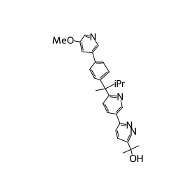 COc1cncc(-c2ccc(C(C)(c3ccc(-c4ccc(C(C)(C)O)nn4)cn3)C(C)C)cc2)c1